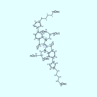 CCCCCCCCCCCCCCc1csc(-c2ccc3c(c2)N(CC(CCCCCCCC)CCCCCCCCCC)/C(=C2\C(=O)c4ccc(-c5cc(CCCCCCCCCCCCCC)cs5)cc4N2CC(CCCCCCCC)CCCCCCCCCC)C3=O)c1